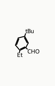 CCc1ccc(C(C)(C)C)cc1C=O